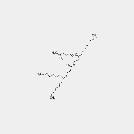 CCCCCCCCC(CCOC(=O)CCCC(CCCCCCC)CCCCCCC)OOCCCN(C)C